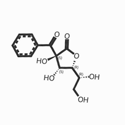 O=C1O[C@H]([C@H](O)CO)[C@H](O)[C@]1(O)C(=O)c1ccccc1